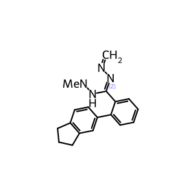 C=N/N=C(\NNC)c1ccccc1-c1ccc2c(c1)CCC2